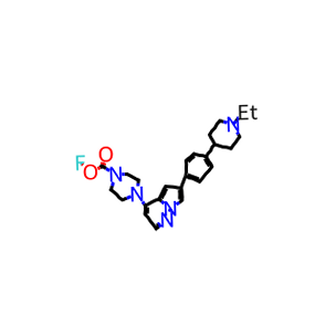 CCN1CCC(c2ccc(-c3cc4c(N5CCN(C(=O)OF)CC5)ccnn4c3)cc2)CC1